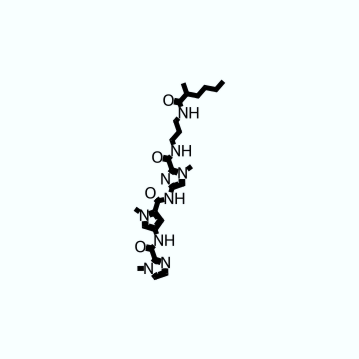 CCCCC(C)C(=O)NCCCNC(=O)c1nc(NC(=O)c2cc(NC(=O)c3nccn3C)cn2C)cn1C